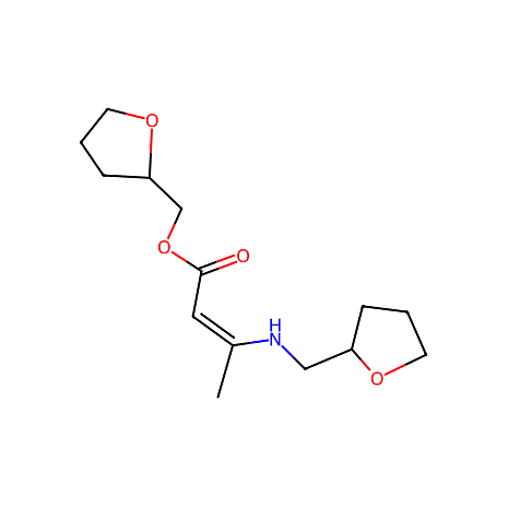 CC(=CC(=O)OCC1CCCO1)NCC1CCCO1